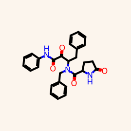 O=C1CCC(C(=O)N(Cc2ccccc2)C(Cc2ccccc2)C(=O)C(=O)Nc2ccccc2)N1